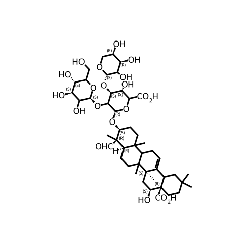 CC1(C)CC[C@@]2(C(=O)O)C(C1)C1=CCC3C4(C)CC[C@H](O[C@@H]5OC(C(=O)O)[C@@H](O)[C@H](O[C@@H]6OC[C@@H](O)[C@@H](O)C6O)C5O[C@@H]5OC(CO)[C@@H](O)[C@H](O)C5O)[C@](C)(C=O)[C@@H]4CCC3(C)[C@]1(C)C[C@@H]2O